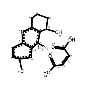 Nc1c2c(nc3ccc(Cl)cc13)CCCC2O.O=C(O)/C=C\C(=O)O